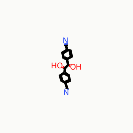 N#Cc1ccc(C(O)C(O)c2ccc(C#N)cc2)cc1